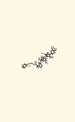 C/C(=N\NC(=O)c1ccc(C(=O)NCCc2ccncc2)s1)c1csc(-c2ccc(Cl)c(Cl)c2)c1O